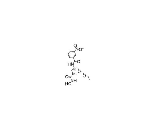 CCOCOC[C@H](C[C@H](C)C(=O)NO)NC(=O)c1cccc([N+](=O)[O-])c1